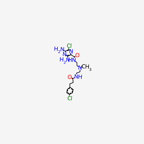 CN(CCNC(=O)CCc1ccc(Cl)cc1)CCNC(=O)c1nc(Cl)c(N)nc1N